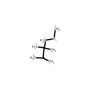 CO[SiH2]C(C)(C)C(C)C